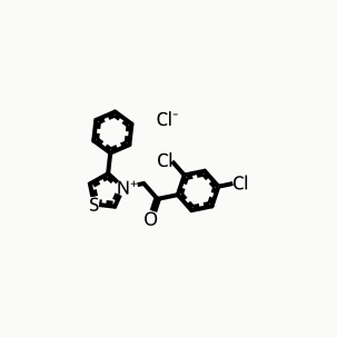 O=C(C[n+]1cscc1-c1ccccc1)c1ccc(Cl)cc1Cl.[Cl-]